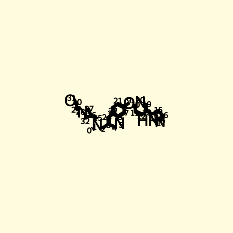 CN(Cc1cnc2cc(Oc3ccc(-c4ccn[nH]4)cn3)ccc2c1)CC1CN(CC=O)C1